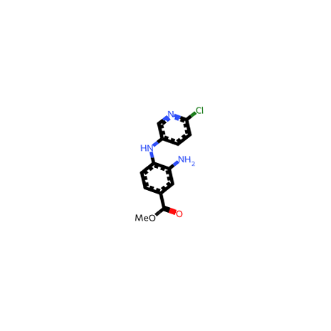 COC(=O)c1ccc(Nc2ccc(Cl)nc2)c(N)c1